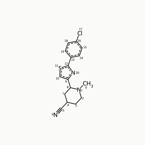 CN1CCC(C#N)CC1c1csc(-c2ccc(Cl)cc2)n1